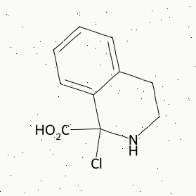 O=C(O)C1(Cl)NCCc2ccccc21